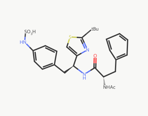 CC(=O)N[C@@H](Cc1ccccc1)C(=O)N[C@@H](Cc1ccc(NS(=O)(=O)O)cc1)c1csc(C(C)(C)C)n1